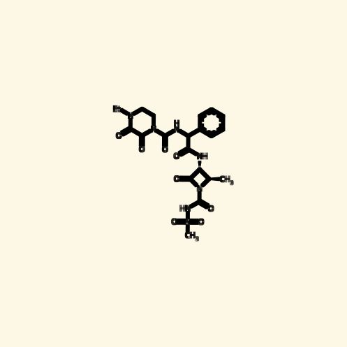 CCN1CCN(C(=O)NC(C(=O)N[C@H]2C(=O)N(C(=O)NS(C)(=O)=O)[C@@H]2C)c2ccccc2)C(=O)C1=O